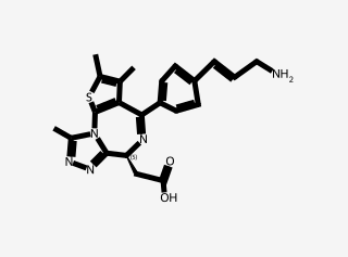 Cc1sc2c(c1C)C(c1ccc(C=CCN)cc1)=N[C@@H](CC(=O)O)c1nnc(C)n1-2